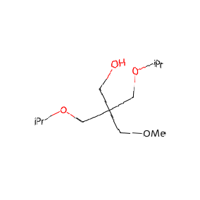 COCC(CO)(COC(C)C)COC(C)C